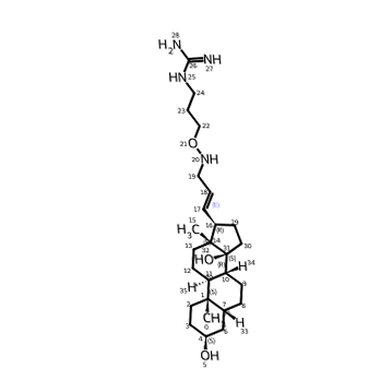 C[C@]12CC[C@H](O)C[C@H]1CC[C@@H]1[C@@H]2CC[C@]2(C)[C@@H](/C=C/CNOCCCNC(=N)N)CC[C@]12O